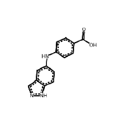 O=C(O)c1ccc(Nc2ccc3[nH]ncc3c2)cc1